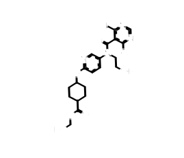 CCOC(=O)C1CCC(Oc2ccc(N(CCO)C(=O)c3c(Cl)ncnc3Cl)cn2)CC1